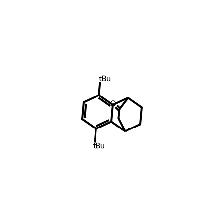 CC(C)(C)c1ccc(C(C)(C)C)c2c1C1CCC2C(=O)C1